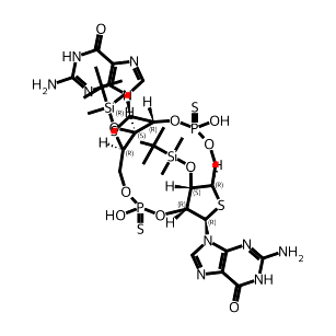 CC(C)(C)[Si](C)(C)O[C@H]1[C@H]2OP(O)(=S)OC[C@H]3S[C@@H](n4cnc5c(=O)[nH]c(N)nc54)[C@H](OP(O)(=S)OC[C@H]1S[C@H]2n1cnc2c(=O)[nH]c(N)nc21)[C@@H]3O[Si](C)(C)C(C)(C)C